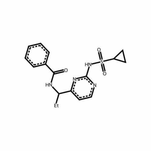 CCC(NC(=O)c1ccccc1)c1ccnc(NS(=O)(=O)C2CC2)n1